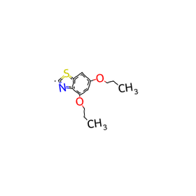 CCCOc1cc(OCCC)c2n[c]sc2c1